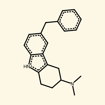 CN(C)C1CCc2[nH]c3ccc(Cc4ccccc4)cc3c2C1